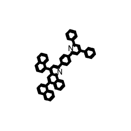 c1ccc(-c2cc(-c3ccccc3)nc(-c3ccc(-c4cc(-c5cccc6ccccc56)c5cc(-c6cccc7ccccc67)c6ccccc6c5n4)cc3)c2)cc1